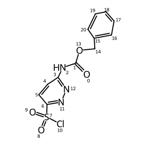 O=C(Nc1ccc(S(=O)(=O)Cl)nn1)OCc1ccccc1